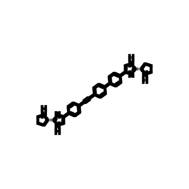 C(#Cc1ccc(-c2c[nH]c([C@@H]3CCCN3)n2)cc1)c1ccc(-c2ccc(-c3c[nH]c([C@@H]4CCCN4)n3)cc2)cc1